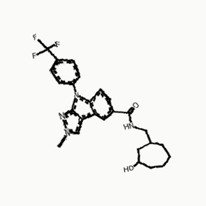 Cn1cc2c3cc(C(=O)NCC4CCCCC(O)C4)ccc3n(-c3ccc(C(F)(F)F)cc3)c2n1